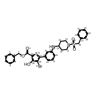 O=C(OCc1ccccc1)c1sc(-c2cccc(NC3CCN(S(=O)(=O)Cc4ccccc4)CC3)c2)c(Br)c1O